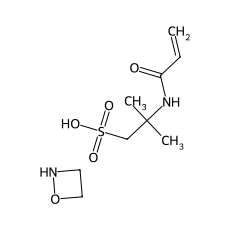 C1CON1.C=CC(=O)NC(C)(C)CS(=O)(=O)O